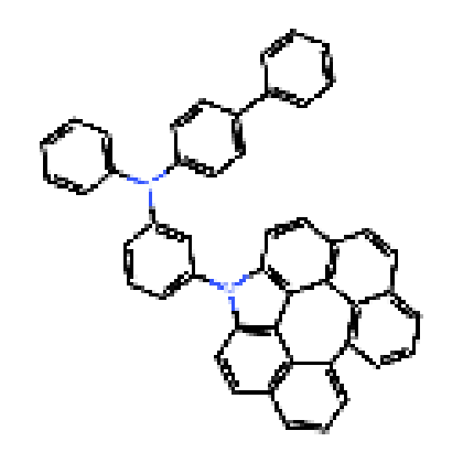 c1ccc(-c2ccc(N(c3ccccc3)c3cccc(-n4c5ccc6cccc7c6c5c5c6c(ccc8cccc-7c86)ccc54)c3)cc2)cc1